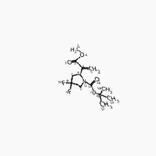 C=C(C(=O)OC)[C@@H]1CC(F)(F)CN1C(=O)OC(C)(C)C